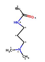 CN(C)CCCNC(=O)C(C)(C)C